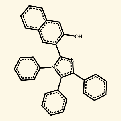 Oc1cc2ccccc2cc1-c1nc(-c2ccccc2)c(-c2ccccc2)n1-c1ccccc1